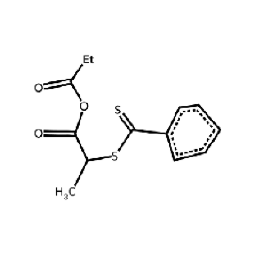 CCC(=O)OC(=O)C(C)SC(=S)c1ccccc1